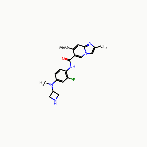 COc1cc2nc(C)cn2cc1C(=O)Nc1ccc(N(C)C2CNC2)cc1F